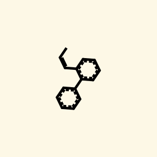 C/C=C\c1ccccc1-c1ccccc1